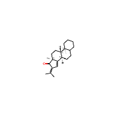 CC(C)=C1C=C2[C@@H]3CCC4CCCC[C@]4(C)[C@H]3CC[C@]2(C)C1=O